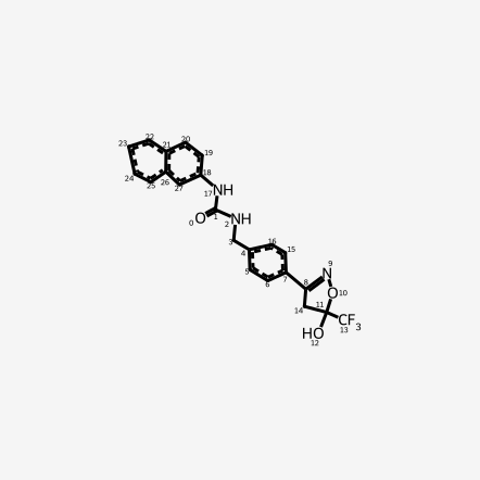 O=C(NCc1ccc(C2=NOC(O)(C(F)(F)F)C2)cc1)Nc1ccc2ccccc2c1